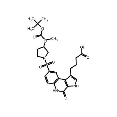 CN(C(=O)OC(C)(C)C)C1CCN(S(=O)(=O)c2ccc3[nH]c(=O)c4[nH]cc(CCCC(=O)O)c4c3c2)C1